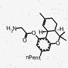 CCCCCc1cc(OC(=O)CN)c2c(c1)OC(C)(C)[C@@H]1CCC(C)=C[C@@H]21